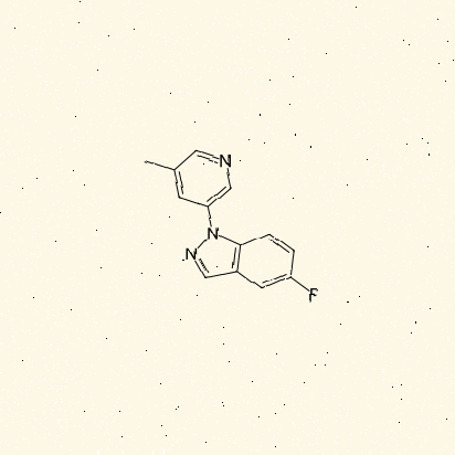 Cc1cncc(-n2ncc3cc(F)ccc32)c1